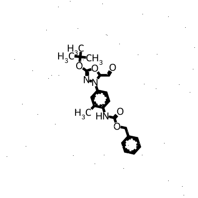 Cc1cc(N2N=C(OC(C)(C)C)OC2C=O)ccc1NC(=O)OCc1ccccc1